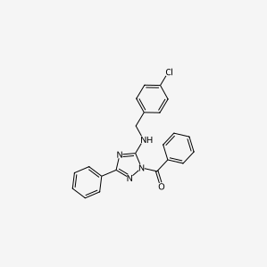 O=C(c1ccccc1)n1nc(-c2ccccc2)nc1NCc1ccc(Cl)cc1